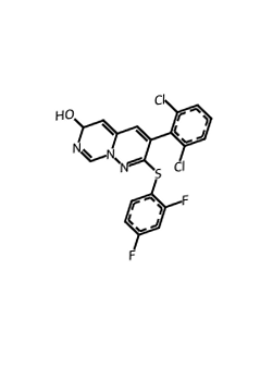 OC1C=C2C=C(c3c(Cl)cccc3Cl)C(Sc3ccc(F)cc3F)=NN2C=N1